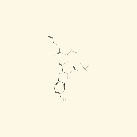 C=CCOC(=O)[C@@H](NC(=O)[C@H](Cc1ccc(O)cc1)NC(=O)OC(C)(C)C)C(C)C